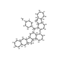 Fc1ccc(N(c2cc3c4cc5ccccc5cc4sc3c3ccccc23)c2cccc3c2oc2ccccc23)cc1